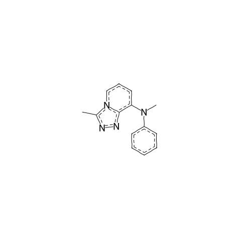 Cc1nnc2c(N(C)c3ccccc3)cccn12